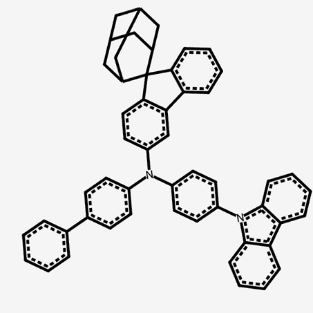 c1ccc(-c2ccc(N(c3ccc(-n4c5ccccc5c5ccccc54)cc3)c3ccc4c(c3)-c3ccccc3C43C4CC5CC(C4)CC3C5)cc2)cc1